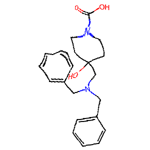 O=C(O)N1CCC(O)(CN(Cc2ccccc2)Cc2ccccc2)CC1